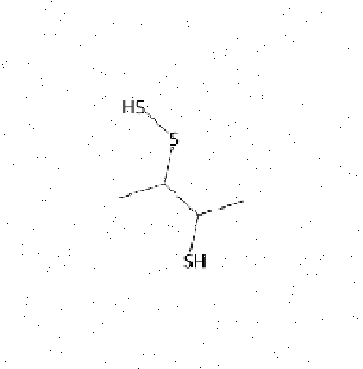 CC(S)C(C)SS